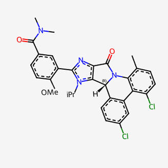 COc1ccc(C(=O)N(C)C)cc1-c1nc2c(n1C(C)C)[C@H]1c3ccc(Cl)cc3-c3c(Cl)ccc(C)c3N1C2=O